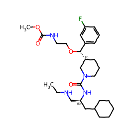 CCNC[C@H](CC1CCCCC1)NC(=O)N1CCC[C@@H](C(OCCNC(=O)OC)c2cccc(F)c2)C1